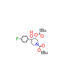 CC(C)(C)OC(=O)N1CC[C@@](O)(c2ccc(F)cc2)[C@H](OC(=O)C(C)(C)C)C1